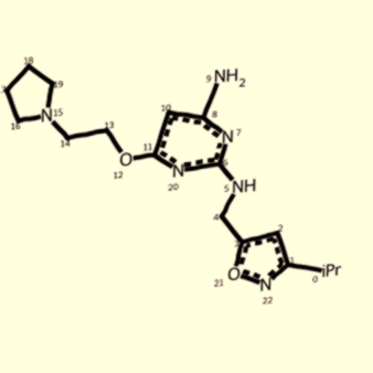 CC(C)c1cc(CNc2nc(N)cc(OCCN3CCCC3)n2)on1